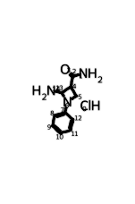 Cl.NC(=O)C1CN(c2ccccc2)C1N